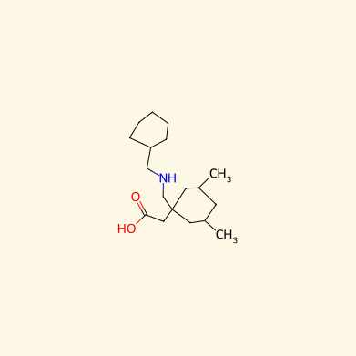 CC1CC(C)CC(CNCC2CCCCC2)(CC(=O)O)C1